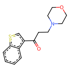 O=C(CCN1CCOCC1)c1csc2ccccc12